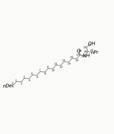 CCCCCCCCCCCCCCCCCCCCCCCCCCC(=O)NC(CO)CCC